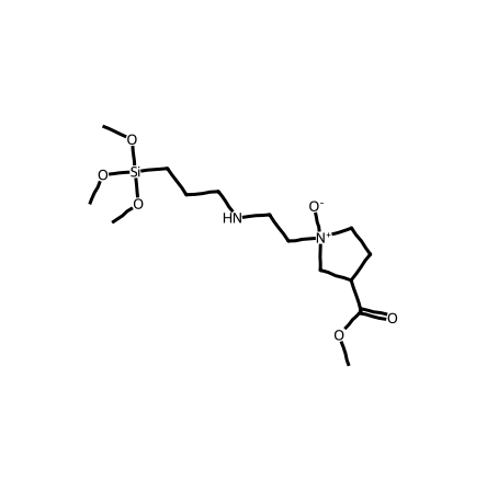 COC(=O)C1CC[N+]([O-])(CCNCCC[Si](OC)(OC)OC)C1